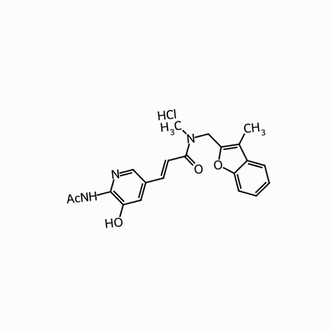 CC(=O)Nc1ncc(/C=C/C(=O)N(C)Cc2oc3ccccc3c2C)cc1O.Cl